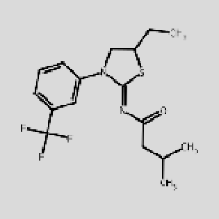 CCC1CN(c2cccc(C(F)(F)F)c2)C(=NC(=O)CC(C)C)S1